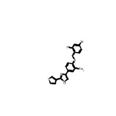 Cc1cc(-c2c[nH]c(-c3ccsc3)n2)ccc1OCc1ccc(Br)cc1F